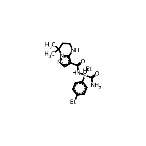 CCc1ccc([PH](CC)(NC(=O)c2cnn3c2NCCC3(C)C)C(N)=O)cc1